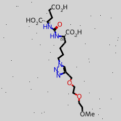 COCCOCCOCc1cn(CCCC[C@H](NC(=O)N[C@@H](CCC(=O)O)C(=O)O)C(=O)O)nn1